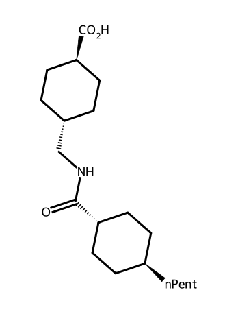 CCCCC[C@H]1CC[C@H](C(=O)NC[C@H]2CC[C@H](C(=O)O)CC2)CC1